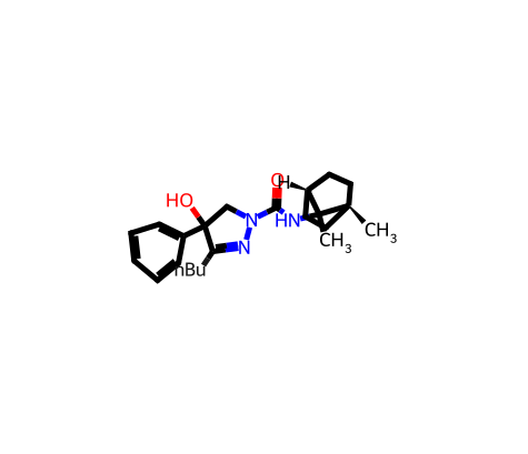 CCCCC1=NN(C(=O)NC2(C)[C@H]3CC[C@]2(C)CC3)CC1(O)c1ccccc1